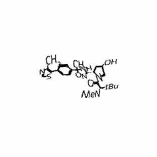 CN[C@H](C(=O)N1C[C@H](O)C[C@H]1C1=NOC(C)(c2ccc(-c3scnc3C)cc2)N1)C(C)(C)C